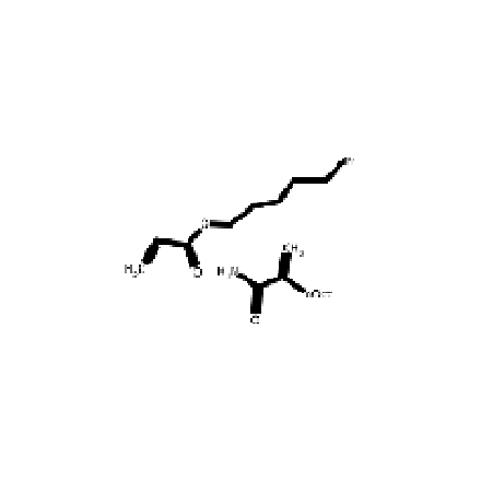 C=C(CCCCCCCC)C(N)=O.C=CC(=O)OCCCCCC(C)C